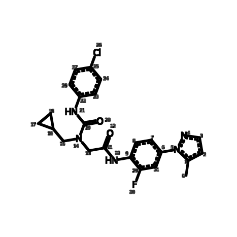 Cc1ccnn1-c1ccc(NC(=O)CN(CC2CC2)C(=O)Nc2ccc(Cl)cc2)c(F)c1